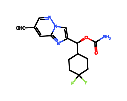 NC(=O)O[C@H](c1cn2ncc(C=O)cc2n1)C1CCC(F)(F)CC1